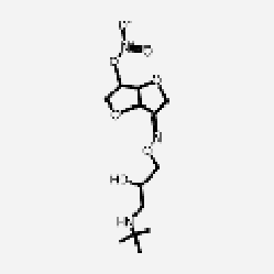 CC(C)(C)NCC(O)CON=C1COC2C(O[N+](=O)[O-])COC12